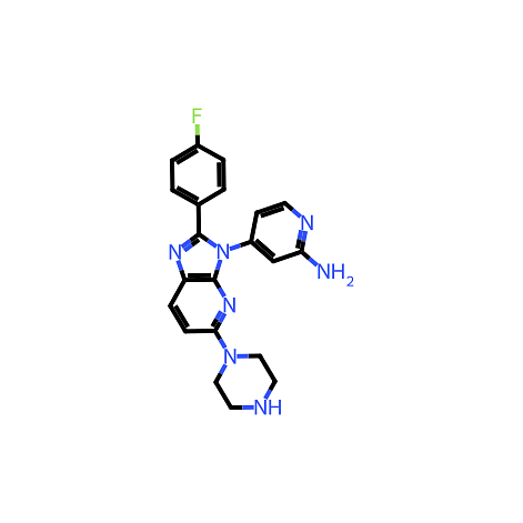 Nc1cc(-n2c(-c3ccc(F)cc3)nc3ccc(N4CCNCC4)nc32)ccn1